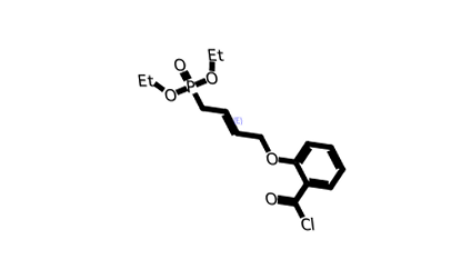 CCOP(=O)(C/C=C/COc1ccccc1C(=O)Cl)OCC